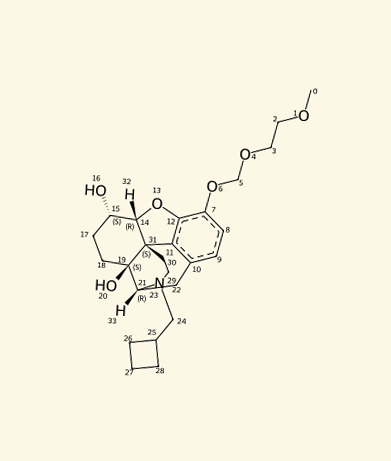 COCCOCOc1ccc2c3c1O[C@H]1[C@@H](O)CC[C@@]4(O)[C@@H](C2)N(CC2CCC2)CC[C@]314